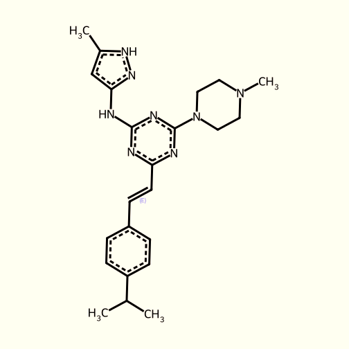 Cc1cc(Nc2nc(/C=C/c3ccc(C(C)C)cc3)nc(N3CCN(C)CC3)n2)n[nH]1